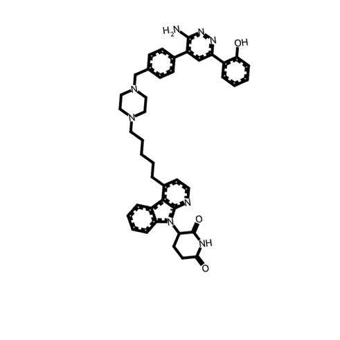 Nc1nnc(-c2ccccc2O)cc1-c1ccc(CN2CCN(CCCCCc3ccnc4c3c3ccccc3n4C3CCC(=O)NC3=O)CC2)cc1